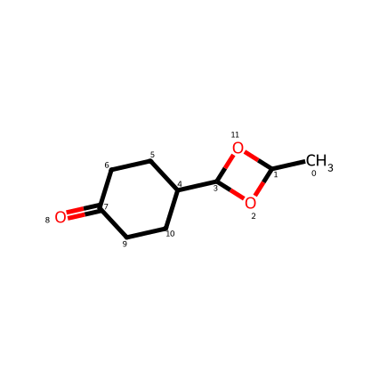 CC1OC(C2CCC(=O)CC2)O1